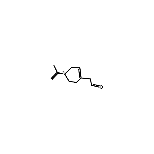 C=C(C)[C@H]1CC=C(CC=O)CC1